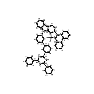 CC1(C)c2c(c3ccccc3c3ccccc23)-c2ccc3c4ccccc4n(-c4cccc(-c5cccc(-c6nc(-c7ccccc7)nc(-c7ccccc7)n6)c5)c4)c3c21